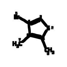 Cc1scc(Br)c1C